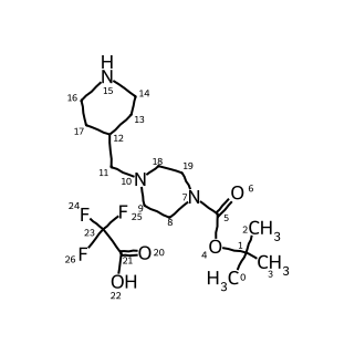 CC(C)(C)OC(=O)N1CCN(CC2CCNCC2)CC1.O=C(O)C(F)(F)F